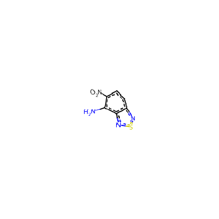 Nc1c([N+](=O)[O-])ccc2nsnc12